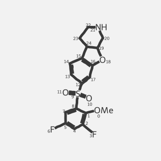 COc1c(F)cc(F)cc1S(=O)(=O)c1ccc2c(c1)OC1CNCCC21